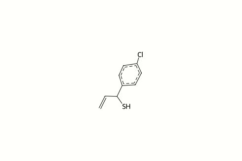 C=CC(S)c1ccc(Cl)cc1